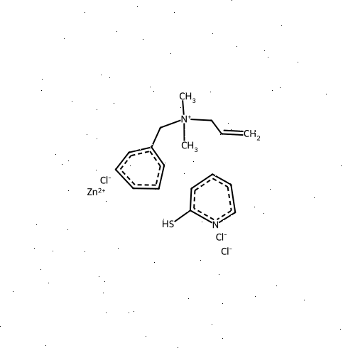 C=CC[N+](C)(C)Cc1ccccc1.Sc1ccccn1.[Cl-].[Cl-].[Cl-].[Zn+2]